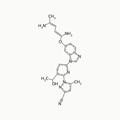 C/C(N)=C/C=C(\N)Oc1ccc2ncn(-c3ccc(C(C)O)c(-n4nc(C#N)cc4C)n3)c2c1